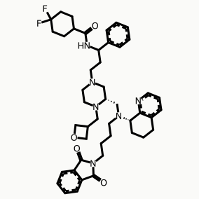 O=C(NC(CCN1CCN(CC2COC2)[C@@H](CN(CCCCN2C(=O)c3ccccc3C2=O)[C@H]2CCCc3cccnc32)C1)c1ccccc1)C1CCC(F)(F)CC1